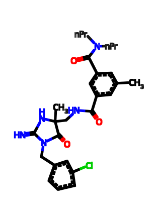 CCCN(CCC)C(=O)c1cc(C)cc(C(=O)NCC2(C)NC(=N)N(Cc3cccc(Cl)c3)C2=O)c1